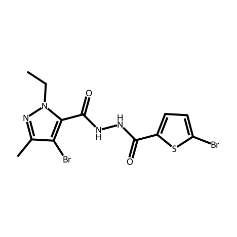 CCn1nc(C)c(Br)c1C(=O)NNC(=O)c1ccc(Br)s1